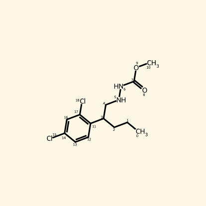 CCCC(CNNC(=O)OC)c1ccc(Cl)cc1Cl